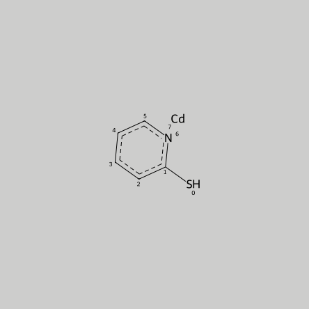 Sc1ccccn1.[Cd]